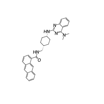 CN(C)c1nc(N[C@H]2CC[C@@H](CNC(=O)c3cccc4cc5ccccc5cc34)CC2)nc2ccccc12